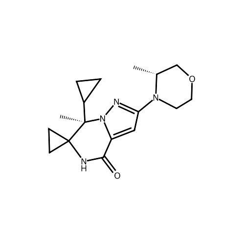 C[C@@H]1COCCN1c1cc2n(n1)[C@](C)(C1CC1)C1(CC1)NC2=O